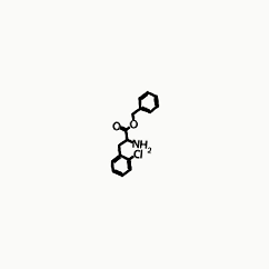 NC(Cc1ccccc1Cl)C(=O)OCc1ccccc1